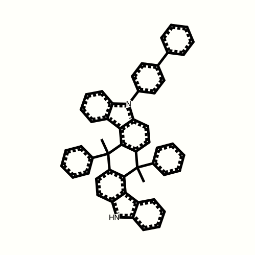 CC1(c2ccccc2)c2ccc3c(c2C(C)(c2ccccc2)c2ccc4[nH]c5ccccc5c4c21)c1ccccc1n3-c1ccc(-c2ccccc2)cc1